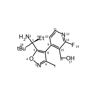 CC[C@@](N)(c1onc(C)c1-c1ccnc(F)c1CO)C(C)(C)C